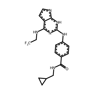 O=C(NCC1CC1)c1ccc(Nc2nc(NCC(F)(F)F)c3ccnc-3[nH]2)cc1